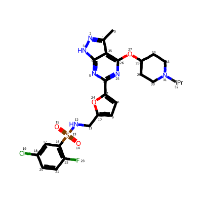 Cc1n[nH]c2nc(-c3ccc(CNS(=O)(=O)c4cc(Cl)ccc4F)o3)nc(OC3CCN(C(C)C)CC3)c12